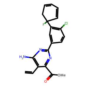 C=Cc1c(N)nc(-c2ccc(Cl)c(C3(F)C=CC=CC3)c2)nc1C(=O)OC